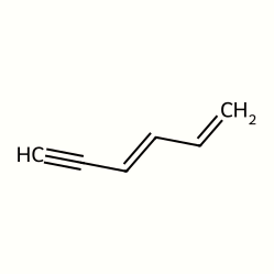 C#CC=CC=C